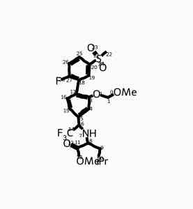 COCOc1cc(C(NC(CC(C)C)C(=O)OC)C(F)(F)F)ccc1-c1cc(S(C)(=O)=O)ccc1F